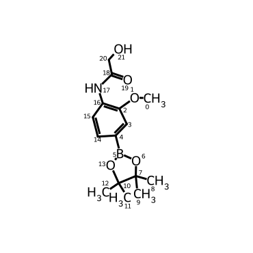 COc1cc(B2OC(C)(C)C(C)(C)O2)ccc1NC(=O)CO